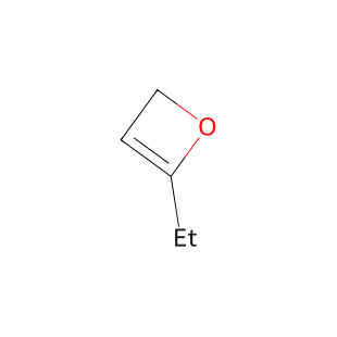 CCC1=CCO1